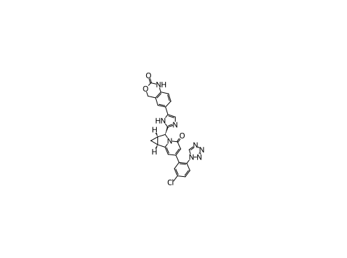 O=C1Nc2ccc(-c3cnc([C@@H]4[C@H]5C[C@H]5c5cc(-c6cc(Cl)ccc6-n6cnnn6)cc(=O)n54)[nH]3)cc2CO1